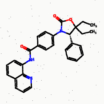 CCC1(CC)OC(=O)N(c2ccc(C(=O)Nc3cccc4cccnc34)cc2)[C@H]1c1ccccc1